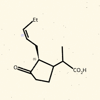 CC/C=C\C[C@@H]1C(=O)CCC1C(C)C(=O)O